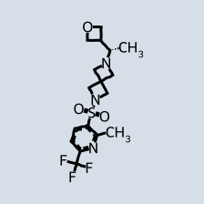 Cc1nc(C(F)(F)F)ccc1S(=O)(=O)N1CC2(CN([C@@H](C)C3COC3)C2)C1